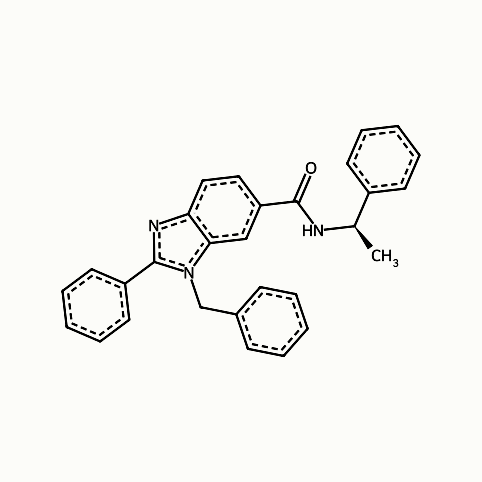 C[C@@H](NC(=O)c1ccc2nc(-c3ccccc3)n(Cc3ccccc3)c2c1)c1ccccc1